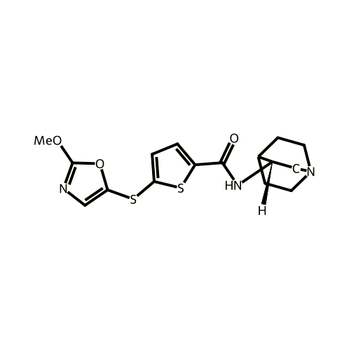 COc1ncc(Sc2ccc(C(=O)N[C@H]3CN4CCC3CC4)s2)o1